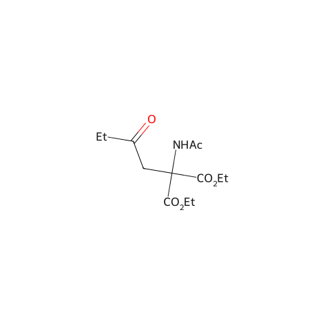 CCOC(=O)C(CC(=O)CC)(NC(C)=O)C(=O)OCC